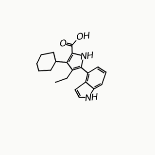 CCc1c(-c2cccc3[nH]ccc23)[nH]c(C(=O)O)c1C1CCCCC1